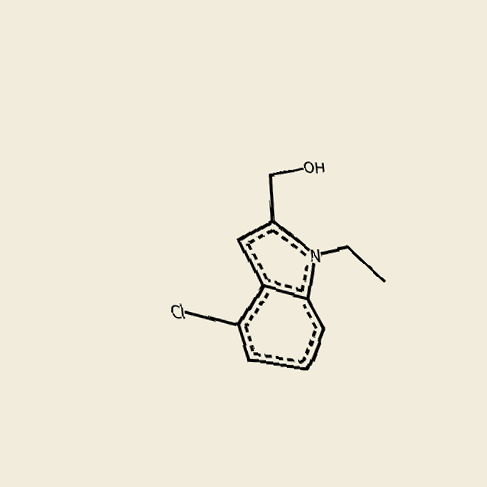 CCn1c(CO)cc2c(Cl)cccc21